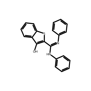 Oc1c(/C(=N\c2ccccc2)Nc2ccccc2)sc2ccccc12